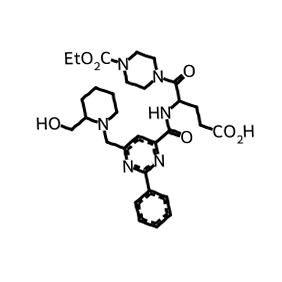 CCOC(=O)N1CCN(C(=O)C(CCC(=O)O)NC(=O)c2cc(CN3CCCCC3CO)nc(-c3ccccc3)n2)CC1